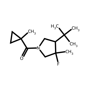 CC1(C(=O)N2CC(C(C)(C)C)C(C)(F)C2)CC1